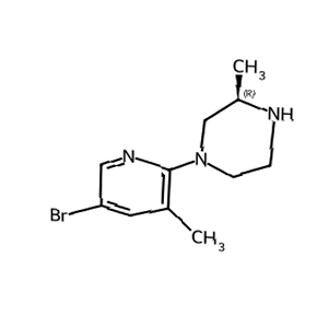 Cc1cc(Br)cnc1N1CCN[C@H](C)C1